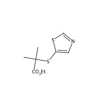 CCOC(=O)C(C)(C)Sc1cn[c]s1